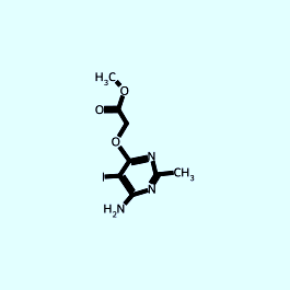 COC(=O)COc1nc(C)nc(N)c1I